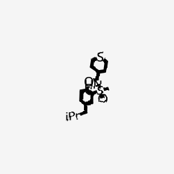 CC(C)Cc1ccc(OCC2CCSCC2)c(S(C)(=N)=O)c1